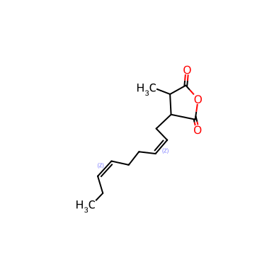 CC/C=C\CC/C=C\CC1C(=O)OC(=O)C1C